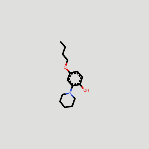 CCCCOc1ccc(O)c(N2CCCCC2)c1